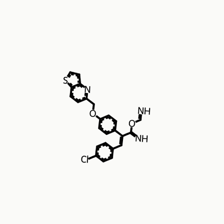 N=COC(=N)/C(=C/c1ccc(Cl)cc1)c1ccc(OCc2ccc3sccc3n2)cc1